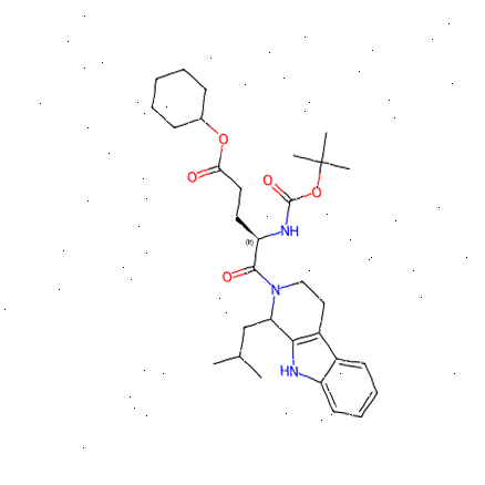 CC(C)CC1c2[nH]c3ccccc3c2CCN1C(=O)[C@@H](CCC(=O)OC1CCCCC1)NC(=O)OC(C)(C)C